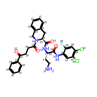 NCC[C@H](NC(=O)[C@@H]1Cc2ccccc2CN1C(=O)CCC(=O)c1ccccc1)C(=O)Nc1cc(Cl)c(Cl)cc1F